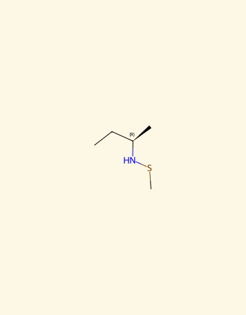 CC[C@@H](C)NSC